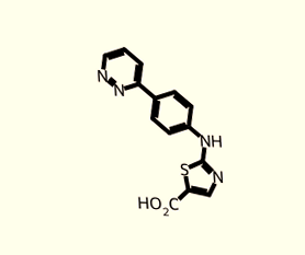 O=C(O)c1cnc(Nc2ccc(-c3cccnn3)cc2)s1